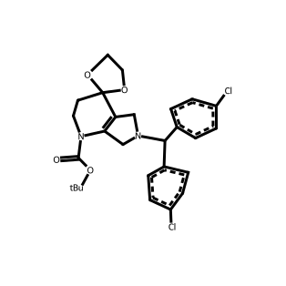 CC(C)(C)OC(=O)N1CCC2(OCCO2)C2=C1CN(C(c1ccc(Cl)cc1)c1ccc(Cl)cc1)C2